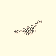 OCCOCCOc1c(Cl)c(Cl)c(-c2c(Cl)c(Cl)c(OCCOCCO)c(Cl)c2Cl)c(Cl)c1Cl